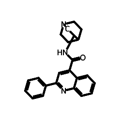 O=C(NC1CN2CCC1CC2)c1cc(-c2ccccc2)nc2ccccc12